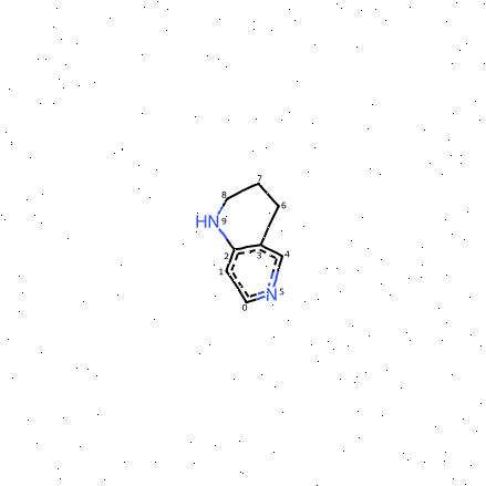 c1cc2c(cn1)CCCN2